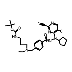 CCN(CCCNC(=O)OC(C)(C)C)Cc1ccc(C(=O)NN(c2nc(C#N)ncc2Cl)C2CCCC2)cc1